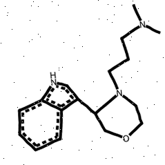 CN(C)CCCN1CCOCC1c1c[nH]c2ccccc12